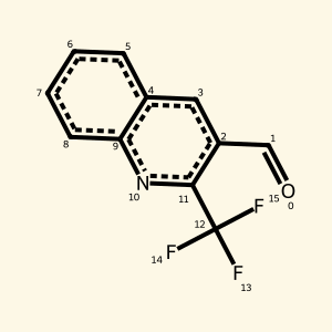 O=Cc1cc2ccccc2nc1C(F)(F)F